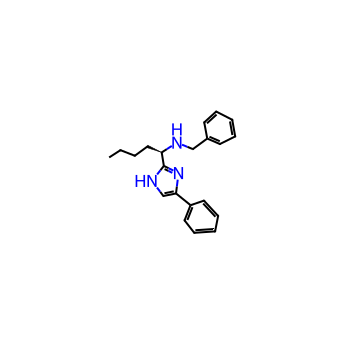 CCCC[C@@H](NCc1ccccc1)c1nc(-c2ccccc2)c[nH]1